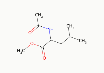 COC(=O)C(CC(C)C)NC(C)=O